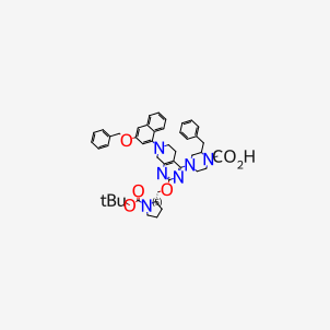 CC(C)(C)OC(=O)N1CCC[C@H]1COc1nc2c(c(N3CCN(C(=O)O)C(Cc4ccccc4)C3)n1)CCN(c1cc(OCc3ccccc3)cc3ccccc13)C2